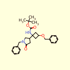 CC(C)(C)OC(=O)NC1(C2CC(=O)N(Cc3ccccc3)C2)CC(OCc2ccccc2)C1